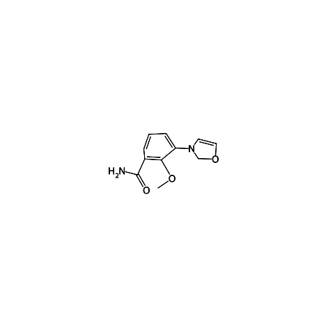 COc1c(C(N)=O)cccc1N1C=COC1